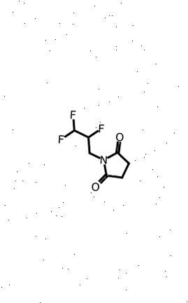 O=C1CCC(=O)N1CC(F)C(F)F